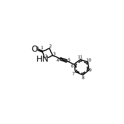 O=C1CC(C#Cc2ccccc2)N1